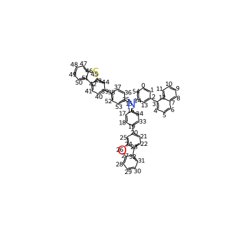 c1cc(-c2cccc3ccccc23)cc(N(c2ccc(-c3ccc4c(c3)oc3ccccc34)cc2)c2ccc(-c3ccc4c(c3)sc3ccccc34)cc2)c1